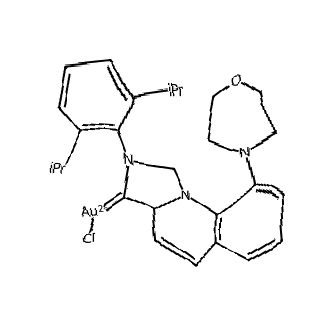 CC(C)c1cccc(C(C)C)c1N1CN2c3c(cccc3N3CCOCC3)C=CC2[C]1=[Au-2][Cl]